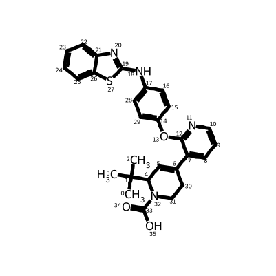 CC(C)(C)C1C=C(c2cccnc2Oc2ccc(Nc3nc4ccccc4s3)cc2)CCN1C(=O)O